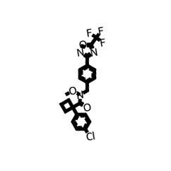 CON(Cc1ccc(-c2noc(C(F)(F)F)n2)cc1)C(=O)C1(c2ccc(Cl)cc2)CCC1